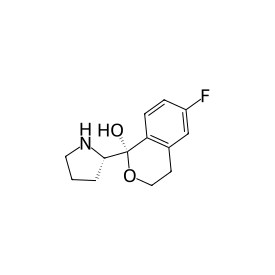 O[C@@]1([C@@H]2CCCN2)OCCc2cc(F)ccc21